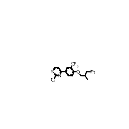 CC(C)CC(C)COc1ccc(-c2ccnc(Cl)n2)cc1C(F)(F)F